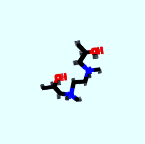 CC(O)CN(C)CCN(C)CC(C)O